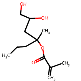 C=C(C)C(=O)OC(C)(CCC)CC(O)CO